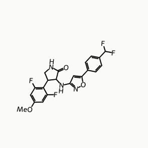 COc1cc(F)c(C2CNC(=O)C2Nc2cc(-c3ccc(C(F)F)cc3)on2)c(F)c1